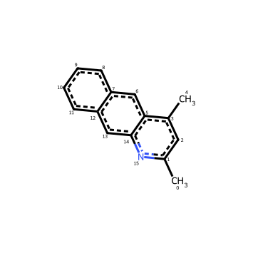 Cc1cc(C)c2cc3ccccc3cc2n1